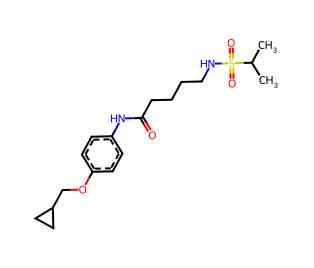 CC(C)S(=O)(=O)NCCCCC(=O)Nc1ccc(OCC2CC2)cc1